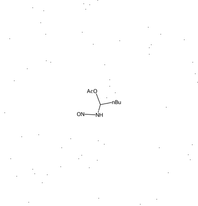 CCCCC(NN=O)OC(C)=O